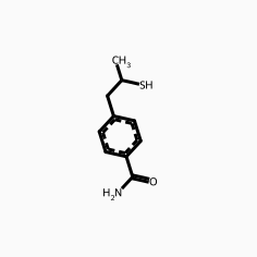 CC(S)Cc1ccc(C(N)=O)cc1